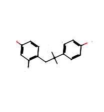 Cc1cc(O)ccc1CC(C)(C)c1ccc(O)cc1